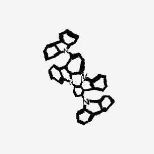 c1ccc2c(c1)c1ccccc1n2-c1ccc2c3c1c1ccccc1n3c1ccc(-n3c4ccccc4c4ccccc43)c3c4ccccc4n2c31